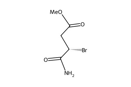 COC(=O)C[C@H](Br)C(N)=O